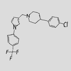 FC(F)(F)c1ccc(-n2ccc(CN3CCC(c4ccc(Cl)cc4)CC3)c2)cc1